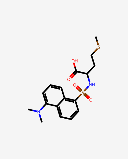 CSCCC(NS(=O)(=O)c1cccc2c(N(C)C)cccc12)C(=O)O